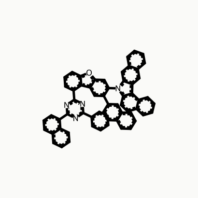 c1ccc(-c2nc(-c3cccc4ccccc34)nc(-c3cccc4oc5cc(-n6c7cc8ccccc8cc7c7c8ccccc8ccc76)c(-c6ccc7ccccc7c6)cc5c34)n2)cc1